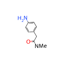 CNC(=O)Cc1ccc(N)cc1